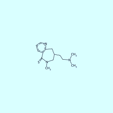 CN(C)CCC1Cc2ncccc2C(=S)N(C)C1